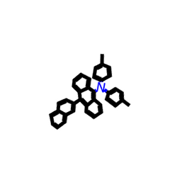 Cc1ccc(N(c2ccc(C)cc2)c2c3ccccc3c(-c3ccc4ccccc4c3)c3ccccc23)cc1